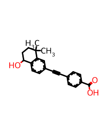 CC1(C)CCC(O)c2ccc(C#Cc3ccc(C(=O)O)cc3)cc21